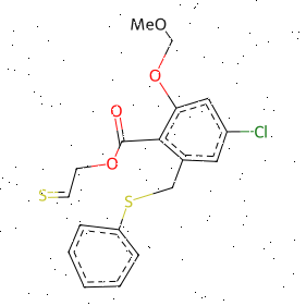 COCOc1cc(Cl)cc(CSc2ccccc2)c1C(=O)OCC=S